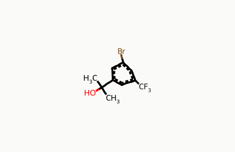 CC(C)(O)c1cc(Br)cc(C(F)(F)F)c1